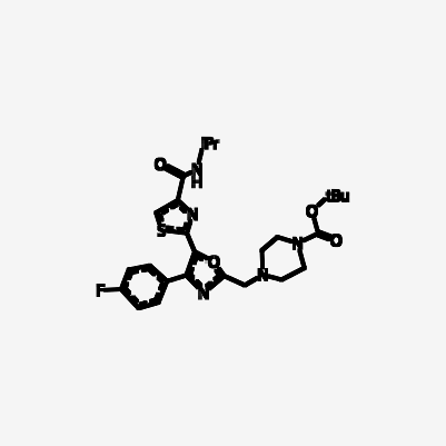 CC(C)NC(=O)c1csc(-c2oc(CN3CCN(C(=O)OC(C)(C)C)CC3)nc2-c2ccc(F)cc2)n1